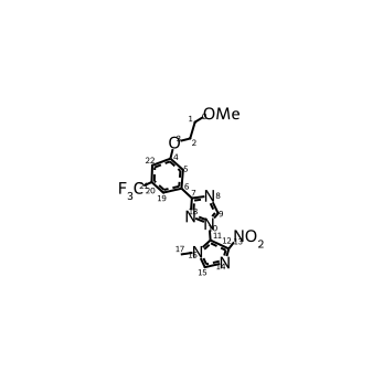 COCCOc1cc(-c2ncn(-c3c([N+](=O)[O-])ncn3C)n2)cc(C(F)(F)F)c1